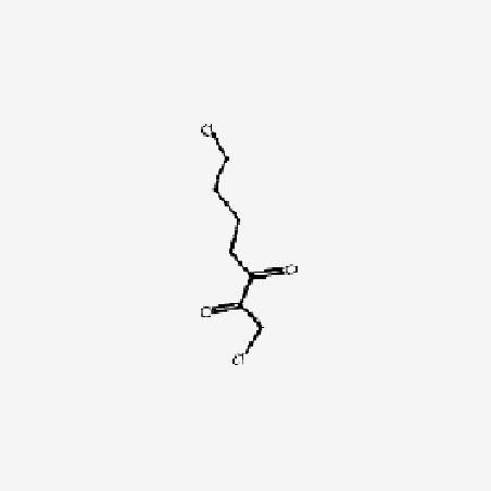 O=C(CCl)C(=O)CCCCCl